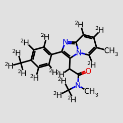 [2H]c1c([2H])c(C([2H])([2H])[2H])c([2H])c([2H])c1-c1nc2c([2H])c([2H])c(C)c([2H])n2c1C([2H])C(=O)N(C)C([2H])([2H])[2H]